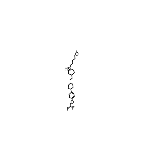 COCCCCC[SiH]1CCC(CC[C@H]2CC[C@H](c3ccc(OCC(F)F)cc3)CC2)CC1